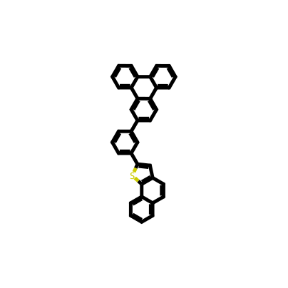 c1cc(-c2ccc3c4ccccc4c4ccccc4c3c2)cc(-c2cc3ccc4ccccc4c3s2)c1